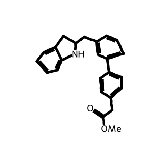 COC(=O)Cc1ccc(-c2cccc(CC3Cc4ccccc4N3)c2)cc1